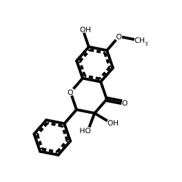 COc1cc2c(cc1O)OC(c1ccccc1)C(O)(O)C2=O